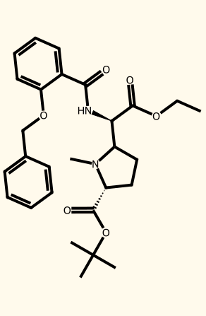 CCOC(=O)[C@H](NC(=O)c1ccccc1OCc1ccccc1)C1CC[C@H](C(=O)OC(C)(C)C)N1C